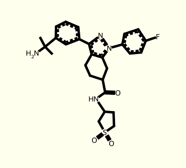 CC(C)(N)c1cccc(-c2nn(-c3ccc(F)cc3)c3c2CCC(C(=O)NC2CCS(=O)(=O)C2)C3)c1